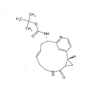 CC(C)(C)OC(=O)N[C@H]1C/C=C/CCNC(=O)C2C[C@H]2c2ccnc1c2